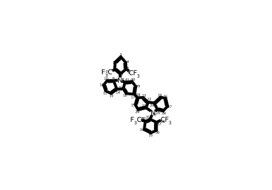 FC(F)(F)c1cccc(C(F)(F)F)c1-n1c2ccccc2c2cc(-c3ccc4c(c3)c3ccccc3n4-c3c(C(F)(F)F)cccc3C(F)(F)F)ccc21